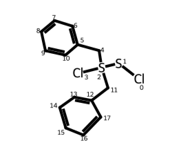 ClSS(Cl)(Cc1ccccc1)Cc1ccccc1